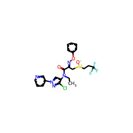 CCN(C(=O)C(C[S+]([O-])CCC(F)(F)F)=NOc1ccccc1)c1cn(-c2cccnc2)nc1Cl